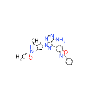 C=CC(=O)NCC1CC(n2nc(-c3ccc4oc(-c5ccccc5)nc4c3)c3c(N)ncnc32)CC1CC